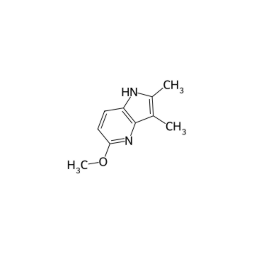 COc1ccc2[nH]c(C)c(C)c2n1